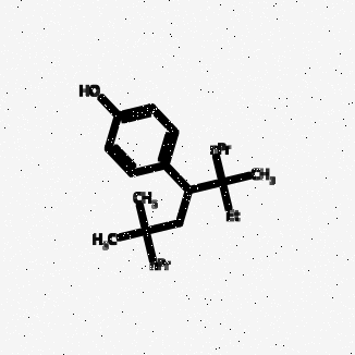 CCCC(C)(C)CC(c1ccc(O)cc1)C(C)(CC)CCC